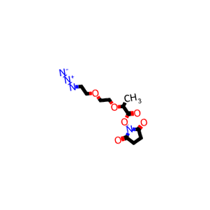 CC(OCCOCCN=[N+]=[N-])C(=O)ON1C(=O)CCC1=O